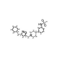 CS(=O)(=O)Nc1cccc(C2CCN(Cc3cc(Cc4ccccc4)no3)CC2)c1